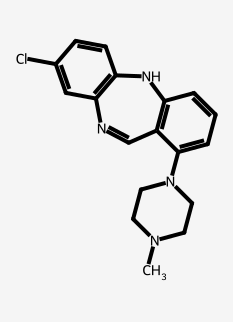 CN1CCN(c2cccc3c2C=Nc2cc(Cl)ccc2N3)CC1